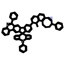 CC1c2c(ccc3c2CCCC(c2ccccc2)/C=C\3)C=CC1c1ccc2c(c1)C1C=c3c(-c4ccccc4)nc4ccccc4c3=CC1C21c2ccccc2N(c2ccccc2)c2ccccc21